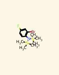 CS(C)(C)N(c1ccc(F)cc1Br)S(C)(C)C